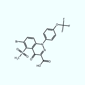 CS(=O)(=O)c1c(Br)ccc2c1c(=O)c(C(=O)O)nn2-c1ccc(OC(F)(F)F)cc1